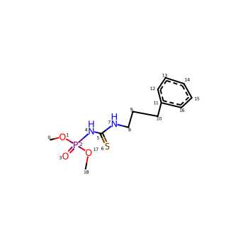 COP(=O)(NC(=S)NCCCc1ccccc1)OC